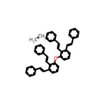 C(=Cc1cccc(Oc2cccc(C=Cc3ccccc3)c2C=Cc2ccccc2)c1C=Cc1ccccc1)c1ccccc1.C=C